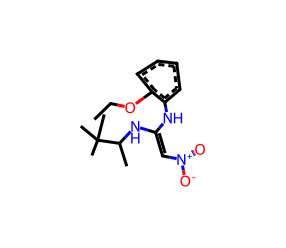 CCOc1ccccc1NC(=C[N+](=O)[O-])NC(C)C(C)(C)C